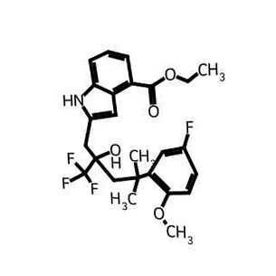 CCOC(=O)c1cccc2[nH]c(CC(O)(CC(C)(C)c3cc(F)ccc3OC)C(F)(F)F)cc12